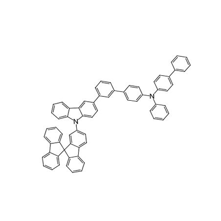 c1ccc(-c2ccc(N(c3ccccc3)c3ccc(-c4cccc(-c5ccc6c(c5)c5ccccc5n6-c5ccc6c(c5)C5(c7ccccc7-c7ccccc75)c5ccccc5-6)c4)cc3)cc2)cc1